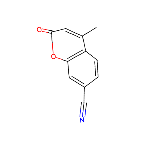 Cc1cc(=O)oc2cc(C#N)ccc12